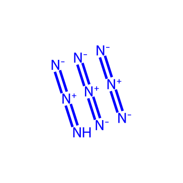 [N-]=[N+]=N.[N-]=[N+]=[N-].[N-]=[N+]=[N-]